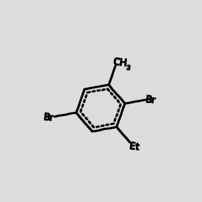 [CH]Cc1cc(Br)cc(C)c1Br